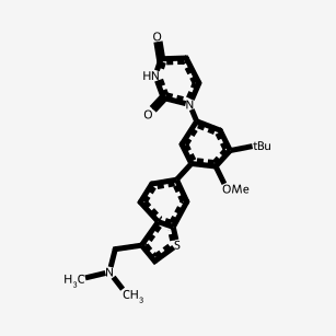 COc1c(-c2ccc3c(CN(C)C)csc3c2)cc(-n2ccc(=O)[nH]c2=O)cc1C(C)(C)C